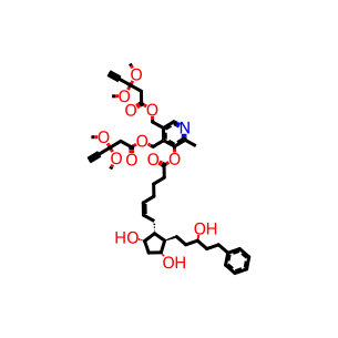 C#CC(CC(=O)OCc1cnc(C)c(OC(=O)CCC/C=C\C[C@@H]2[C@@H](CC[C@@H](O)CCc3ccccc3)[C@H](O)C[C@@H]2O)c1COC(=O)CC(C#C)(OC)OC)(OC)OC